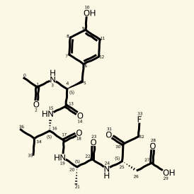 CC(=O)N[C@@H](Cc1ccc(O)cc1)C(=O)N[C@H](C(=O)N[C@@H](C)C(=O)N[C@@H](CC(=O)O)C(=O)CF)C(C)C